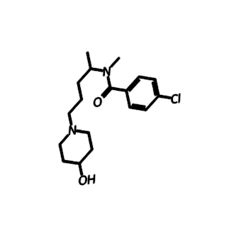 CC(CCCN1CCC(O)CC1)N(C)C(=O)c1ccc(Cl)cc1